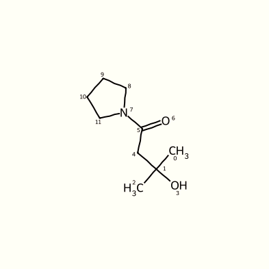 CC(C)(O)CC(=O)N1CCCC1